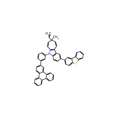 C=CC1(C)C=Cc2c(n(-c3cccc(-c4ccc5c6ccccc6c6ccccc6c5c4)c3)c3ccc(-c4ccc5sc6ccccc6c5c4)cc23)C=C1